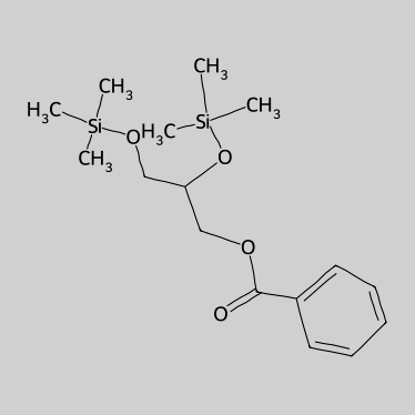 C[Si](C)(C)OCC(COC(=O)c1ccccc1)O[Si](C)(C)C